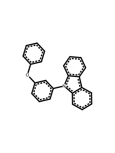 c1ccc(Oc2cccc(-n3c4ccccc4c4ccccc43)c2)cc1